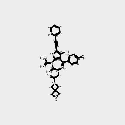 CC(=N)N1C(=N)[C@H](CC(=O)N2CC3(COC3)C2)N=C(c2ccc(Cl)cc2)c2c1sc(C#Cc1ccccn1)c2C